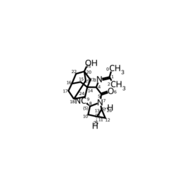 CC(C)=NC(C(=O)N1[C@H](C#N)C[C@@H]2C[C@@H]21)C12CC3CC(CC(O)(C3)C1)C2